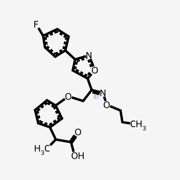 CCCO/N=C(\COc1cccc(C(C)C(=O)O)c1)c1cc(-c2ccc(F)cc2)no1